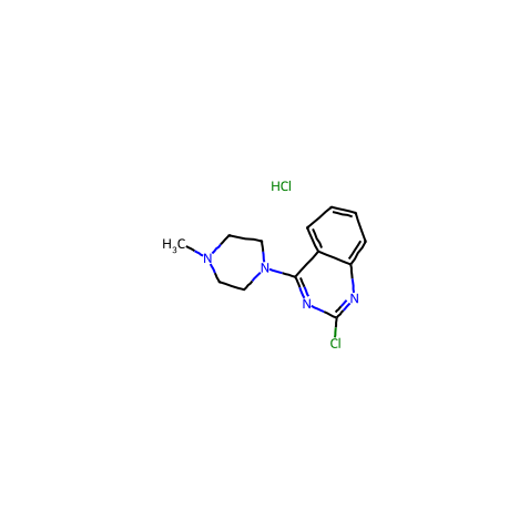 CN1CCN(c2nc(Cl)nc3ccccc23)CC1.Cl